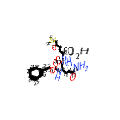 C[S+](C)CC(=O)CCC(NC(=O)C(CCC(N)=O)NC(=O)OCc1ccccc1)C(=O)O